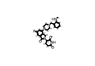 CNc1ccccc1CN1CCN(c2cc(F)cc3c2CN(C2CCC(=O)NC2=O)C3=O)CC1